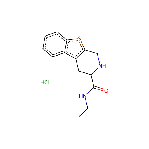 CCNC(=O)C1Cc2c(sc3ccccc23)CN1.Cl